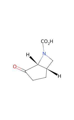 O=C1CC[C@H]2CN(C(=O)O)[C@@H]12